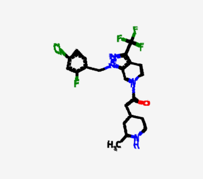 CC1CC(CC(=O)N2CCc3c(C(F)(F)F)nn(Cc4ccc(Cl)cc4F)c3C2)CCN1